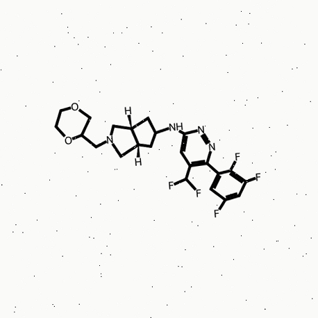 Fc1cc(F)c(F)c(-c2nnc(NC3C[C@@H]4CN(CC5COCCO5)C[C@@H]4C3)cc2C(F)F)c1